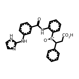 O=C(O)CC(c1ccccc1)[S+]([O-])c1ccccc1NC(=O)c1cccc(Nc2ncc[nH]2)c1